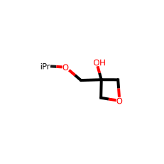 CC(C)OCC1(O)COC1